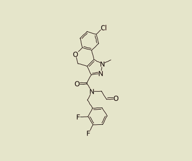 Cn1nc(C(=O)N(CC=O)Cc2cccc(F)c2F)c2c1-c1cc(Cl)ccc1OC2